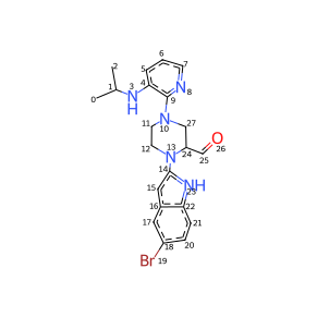 CC(C)Nc1cccnc1N1CCN(c2cc3cc(Br)ccc3[nH]2)C(C=O)C1